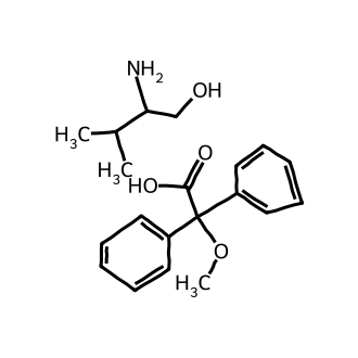 CC(C)C(N)CO.COC(C(=O)O)(c1ccccc1)c1ccccc1